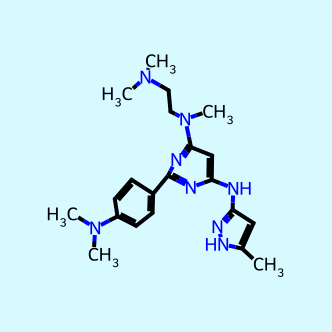 Cc1cc(Nc2cc(N(C)CCN(C)C)nc(-c3ccc(N(C)C)cc3)n2)n[nH]1